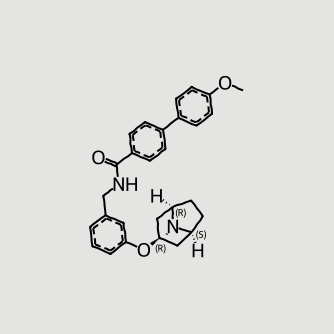 COc1ccc(-c2ccc(C(=O)NCc3cccc(O[C@H]4C[C@H]5CC[C@@H](C4)N5C)c3)cc2)cc1